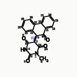 CN1C(=O)NC(=O)/C(=C2/C(=O)c3ccccc3-c3ccccc32)C1=O